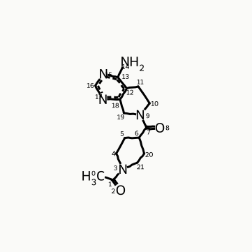 CC(=O)N1CCC(C(=O)N2CCc3c(N)ncnc3C2)CC1